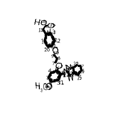 COc1ccc(OCCCOc2ccc(CC(=O)O)cc2)c(-n2nc3ccccc3n2)c1